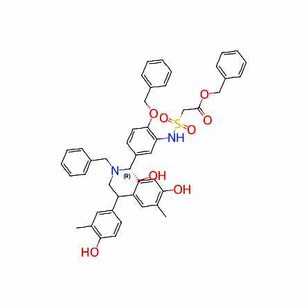 Cc1cc(C(CN(Cc2ccccc2)[C@@H](CO)c2ccc(OCc3ccccc3)c(NS(=O)(=O)CC(=O)OCc3ccccc3)c2)c2ccc(O)c(C)c2)ccc1O